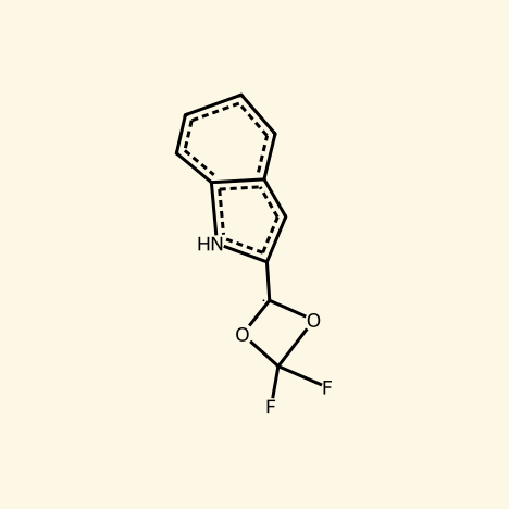 FC1(F)O[C](c2cc3ccccc3[nH]2)O1